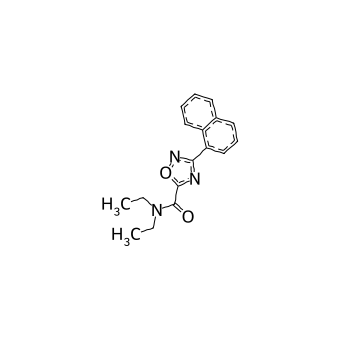 CCN(CC)C(=O)c1nc(-c2cccc3ccccc23)no1